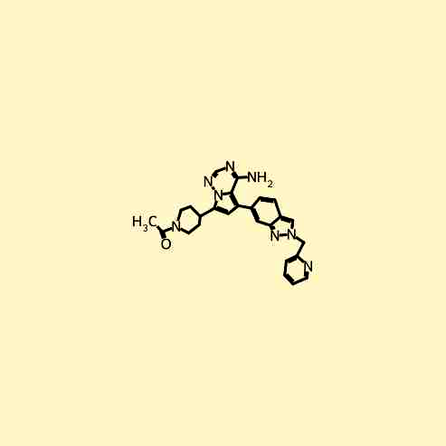 CC(=O)N1CCC(c2cc(-c3ccc4cn(Cc5ccccn5)nc4c3)c3c(N)ncnn23)CC1